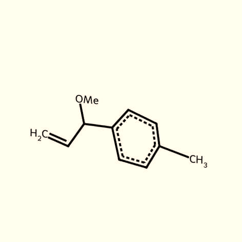 C=CC(OC)c1ccc(C)cc1